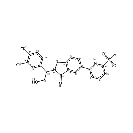 CS(=O)(=O)c1nccc(-c2ccc3c(c2)C(=O)N(C(CO)c2ccc(Cl)c(Cl)c2)C3)n1